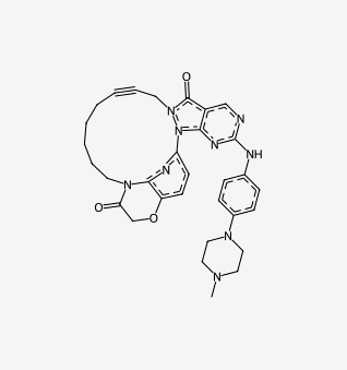 CN1CCN(c2ccc(Nc3ncc4c(=O)n5n(c4n3)-c3ccc4c(n3)N(CCCCCC#CC5)C(=O)CO4)cc2)CC1